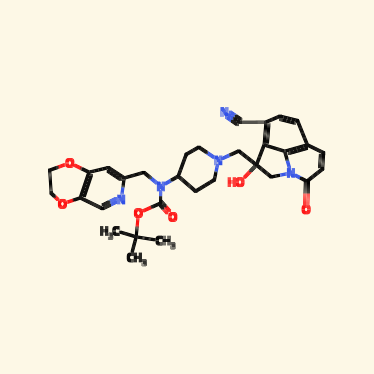 CC(C)(C)OC(=O)N(Cc1cc2c(cn1)OCCO2)C1CCN(CC2(O)Cn3c(=O)ccc4ccc(C#N)c2c43)CC1